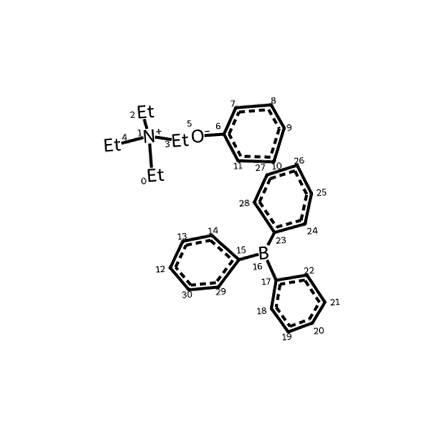 CC[N+](CC)(CC)CC.[O-]c1ccccc1.c1ccc(B(c2ccccc2)c2ccccc2)cc1